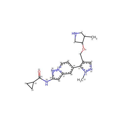 CC1CNCC1OCc1cnn(C)c1-c1ccn2nc(NC(=O)C3CC3)cc2c1